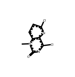 Cn1c(=O)nc(Cl)c2nc(Cl)ccc21